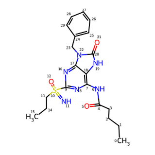 CCCCC(=O)Nc1nc(S(=N)(=O)CCC)nc2c1[nH]c(=O)n2Cc1ccccc1